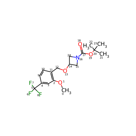 COc1cc(C(F)(F)F)ccc1COC1CN(C(=O)OC(C)(C)C)C1